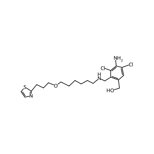 Nc1c(Cl)cc(CO)c(CNCCCCCCOCCCc2nccs2)c1Cl